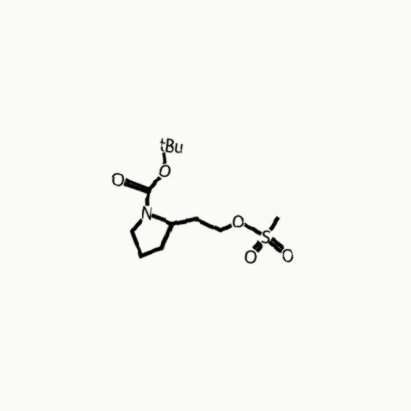 CC(C)(C)OC(=O)N1CCCC1CCOS(C)(=O)=O